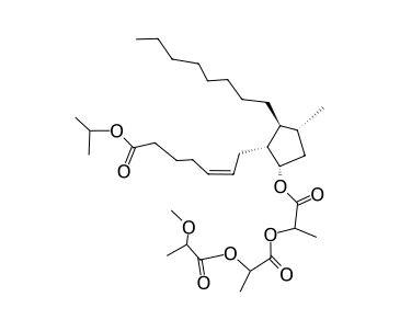 CCCCCCCC[C@@H]1[C@@H](C/C=C\CCCC(=O)OC(C)C)[C@@H](OC(=O)C(C)OC(=O)C(C)OC(=O)C(C)OC)C[C@H]1C